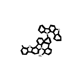 Cc1cccc2c1oc1c2ccc2c1c1ccccc1n2-c1c(C#N)cccc1-c1ccc(-n2c3ccccc3c3ccc4oc5ccccc5c4c32)cc1